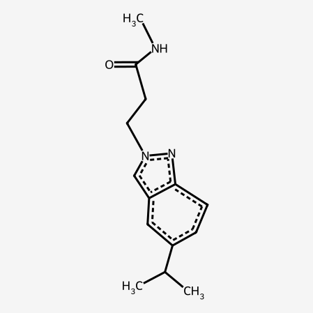 CNC(=O)CCn1cc2cc(C(C)C)ccc2n1